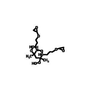 CC1(OO)CC(C)(OO)[SiH](CCCOC2CO2)O[SiH]1CCCOC1CO1